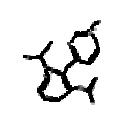 CC(C)c1cccc(C(C)C)c1-c1cc[n+](C)cn1